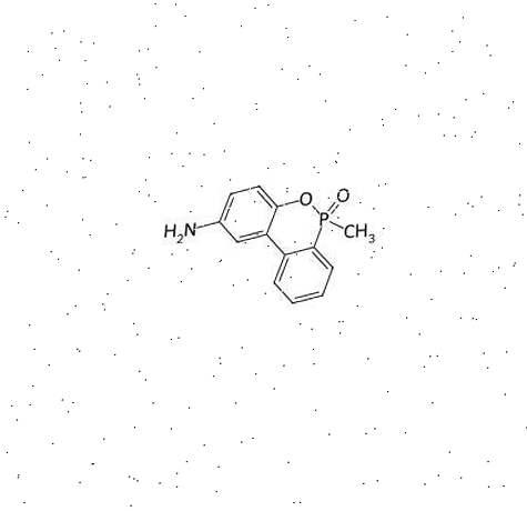 CP1(=O)Oc2ccc(N)cc2-c2ccccc21